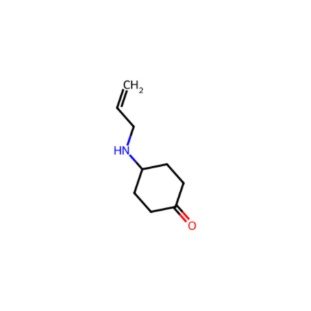 C=CCNC1CCC(=O)CC1